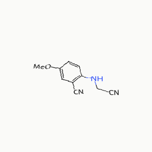 COc1ccc(NCC#N)c(C#N)c1